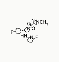 Cn1cnc(S(=O)(=O)N2CC(Nc3cccc(F)n3)C(c3ccc(F)cc3)C2)c1